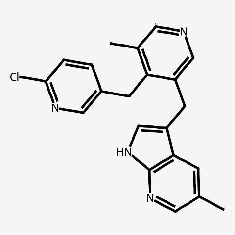 Cc1cnc2[nH]cc(Cc3cn[c]c(C)c3Cc3ccc(Cl)nc3)c2c1